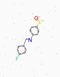 C[S+]([O-])c1ccc(/N=C/c2ccc(F)cc2)cc1